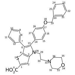 O=C(O)c1cc2c(s1)c(-c1ccccc1)c(-c1ccc(OCc3ccccc3)cc1)n2CCN1CCOCC1